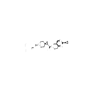 O=C(OC(C(F)(F)F)C(F)(F)F)N1CCC2(CC1)CC2C(=O)N1CCc2nc(C3CC3)ncc2C1